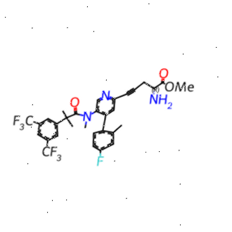 COC(=O)[C@H](N)CC#Cc1cc(-c2ccc(F)cc2C)c(N(C)C(=O)C(C)(C)c2cc(C(F)(F)F)cc(C(F)(F)F)c2)cn1